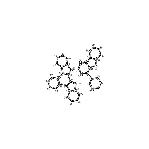 c1cncc(-c2nc(-n3c4ccccc4c4c5ccccc5c5c6ccccc6sc5c43)nc3c2sc2ccccc23)c1